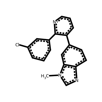 Cn1cnc2ccc(-c3cccnc3-c3cccc(Cl)c3)cc21